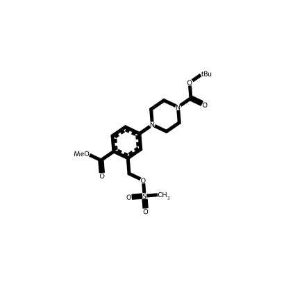 COC(=O)c1ccc(N2CCN(C(=O)OC(C)(C)C)CC2)cc1COS(C)(=O)=O